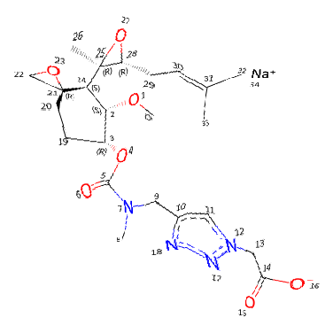 CO[C@@H]1[C@H](OC(=O)N(C)Cc2cn(CC(=O)[O-])nn2)CC[C@]2(CO2)[C@H]1[C@@]1(C)O[C@@H]1CC=C(C)C.[Na+]